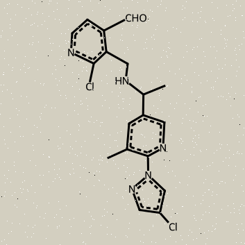 Cc1cc(C(C)NCc2c(C=O)ccnc2Cl)cnc1-n1cc(Cl)cn1